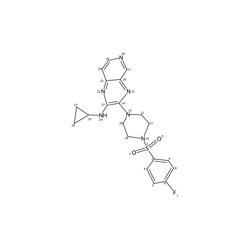 O=S(=O)(c1ccc(F)cc1)N1CCN(c2nc3cnccc3nc2NC2CC2)CC1